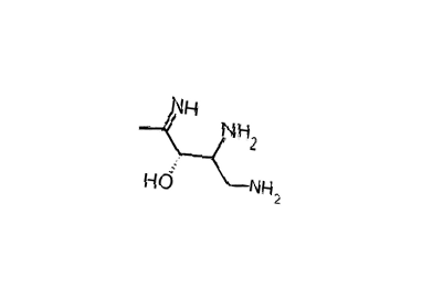 CC(=N)[C@@H](O)C(N)CN